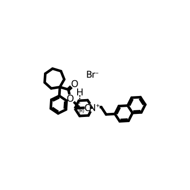 O=C(O[C@H]1C[N+]2(CCc3ccc4ccccc4c3)CCC1CC2)C1(c2ccccc2)CCCCCC1.[Br-]